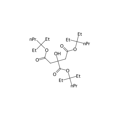 CCCC(CC)(CC)OC(=O)CC(O)(CC(=O)OC(CC)(CC)CCC)C(=O)OC(CC)(CC)CCC